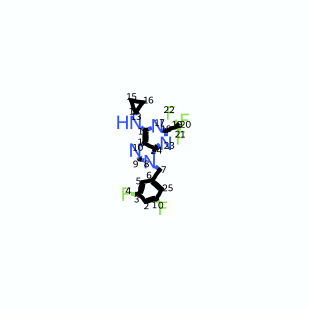 Fc1cc(F)cc(Cn2cnc3c(NC4CC4)nc(C(F)(F)F)nc32)c1